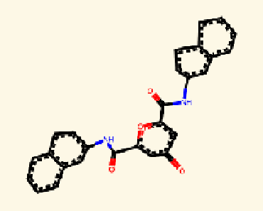 O=C(Nc1ccc2ccccc2c1)c1cc(=O)cc(C(=O)Nc2ccc3ccccc3c2)o1